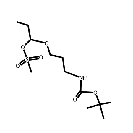 CCC(OCCCNC(=O)OC(C)(C)C)OS(C)(=O)=O